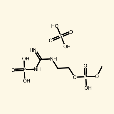 COP(=O)(O)OCCNC(=N)NP(=O)(O)O.O=S(=O)(O)O